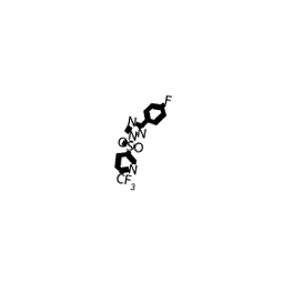 O=S(=O)(c1ccc(C(F)(F)F)nc1)n1cnc(-c2ccc(F)cc2)n1